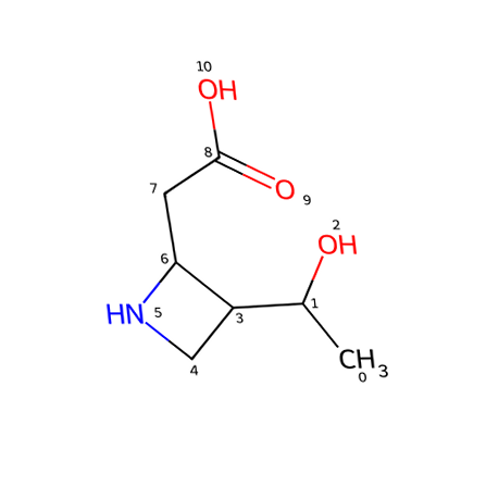 CC(O)C1CNC1CC(=O)O